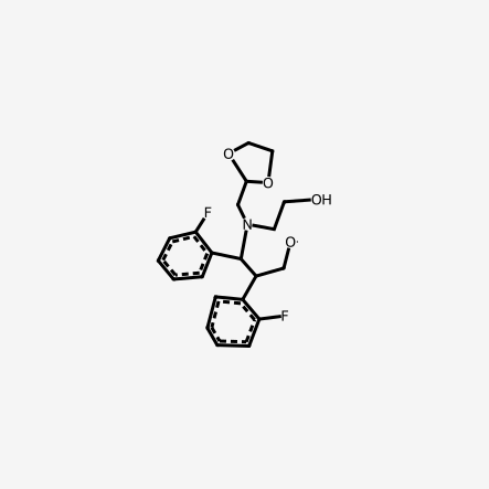 [O]CC(c1ccccc1F)C(c1ccccc1F)N(CCO)CC1OCCO1